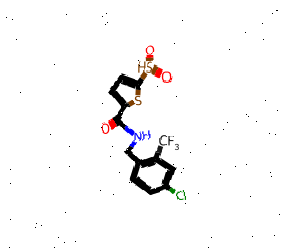 O=C(NCc1ccc(Cl)cc1C(F)(F)F)c1ccc([SH](=O)=O)s1